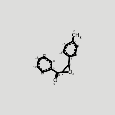 Cc1ccc(C2OC2C(=O)c2ccccc2)cc1